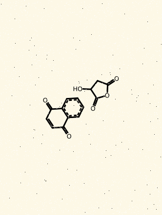 O=C1C=CC(=O)c2ccccc21.O=C1CC(O)C(=O)O1